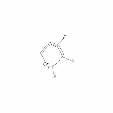 C=CC(F)(F)F.FC=C(F)CF